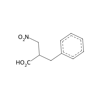 O=C(O)C(Cc1ccccc1)C[N+](=O)[O-]